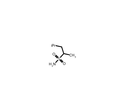 CC(C)CC(C)S(N)(=O)=O